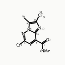 CNC(=O)c1cc(Cl)nn2c(C)c(C(F)(F)F)nc12